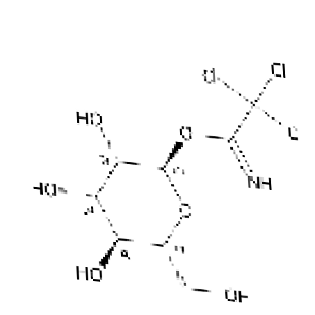 N=C(O[C@H]1O[C@H](CO)[C@@H](O)[C@H](O)[C@@H]1O)C(Cl)(Cl)Cl